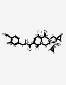 N#Cc1ccc(CNC(=O)c2cc(F)c3n(c2=O)CCN(CC2(S(=O)(=O)C4CC4)CC2)C3=O)cc1F